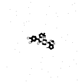 C[C@@H]1CCc2ncnc(N3CCN(C(=O)C(c4ccc(Cl)c(Cl)c4)[C@@H]4CCC(C)(C)N4)CC3)c21